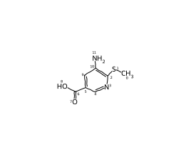 CSc1ncc(C(=O)O)cc1N